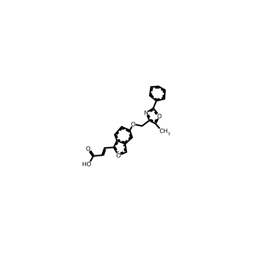 Cc1oc(-c2ccccc2)nc1COc1ccc2c(C=CC(=O)O)occ2c1